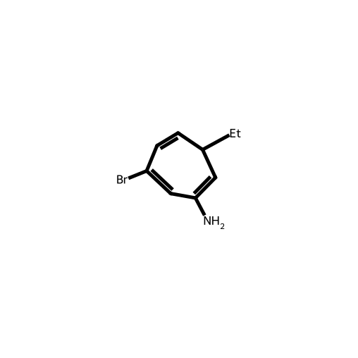 CCC1C=CC(Br)=CC(N)=C1